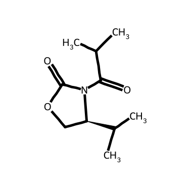 CC(C)C(=O)N1C(=O)OC[C@@H]1C(C)C